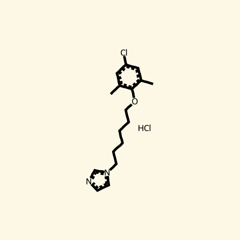 Cc1cc(Cl)cc(C)c1OCCCCCCn1ccnc1.Cl